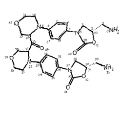 NC[C@H]1CN(c2ccc(N3CCOCC3C(=O)C3COCCN3c3ccc(N4C[C@H](CN)OC4=O)cc3)cc2)C(=O)O1